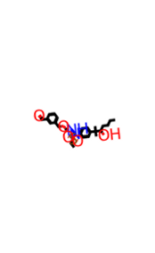 CCCCC(O)C(C)(C)c1ccc(N(NCOCc2cccc(C=O)c2)S(=O)(=O)CC)cc1